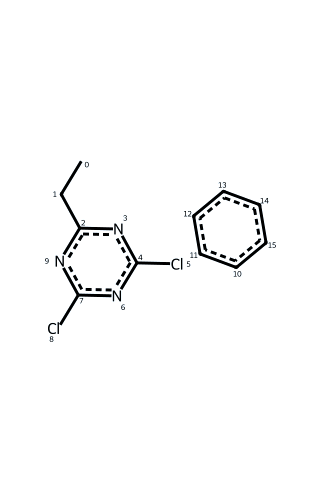 CCc1nc(Cl)nc(Cl)n1.c1ccccc1